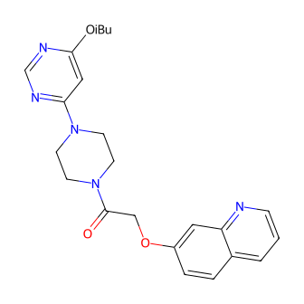 CC(C)COc1cc(N2CCN(C(=O)COc3ccc4cccnc4c3)CC2)ncn1